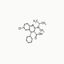 CC(C)N(C)c1nc2ccc(Cl)cc2c(-c2ccccc2)c1C(=O)O